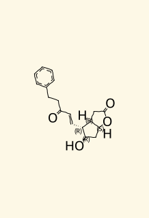 O=C(C=C[C@@H]1[C@H]2CC(=O)O[C@H]2C[C@H]1O)CCc1ccccc1